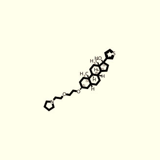 C[C@]12CC[C@H](OCCOCCN3CCCC3)C[C@H]1CC[C@@H]1[C@@H]2CC[C@@]2(C)[C@H]1CC[C@@]2(O)c1ccsc1